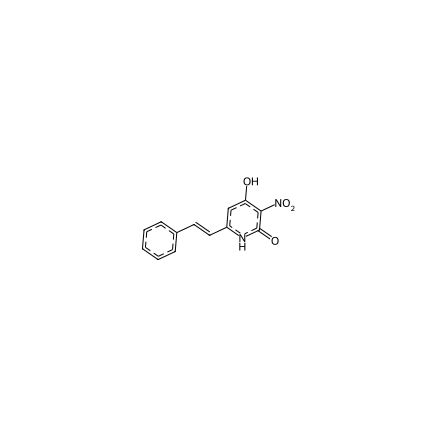 O=c1[nH]c(C=Cc2ccccc2)cc(O)c1[N+](=O)[O-]